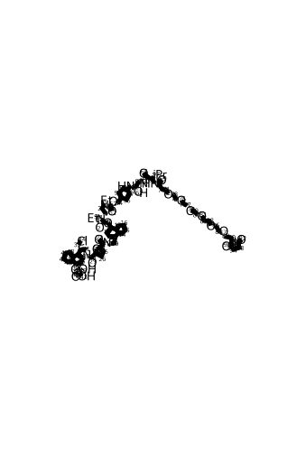 CCN(CCN(CC)C(=O)Oc1cc2c(c3ccccc13)CCN2C(=O)c1ccc(C(=O)N2C[C@@H](CCl)c3c2cc(OP(=O)(O)O)c2ccccc32)o1)C(=O)OCc1ccc(NC(=O)CNC(=O)C(NC(=O)CCOCCOCCOCCOCCOCCOCCN2C(=O)C=CC2=O)C(C)C)cc1